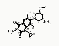 CO[C@H]1C[C@H](N)CN(c2c(F)cc3c(=O)n(N)c(=O)n(C4CC4)c3c2C)C1